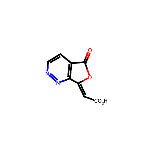 O=C(O)C=C1OC(=O)c2ccnnc21